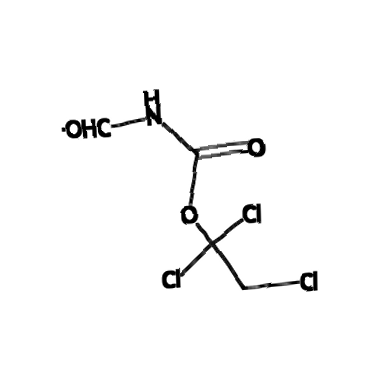 O=[C]NC(=O)OC(Cl)(Cl)CCl